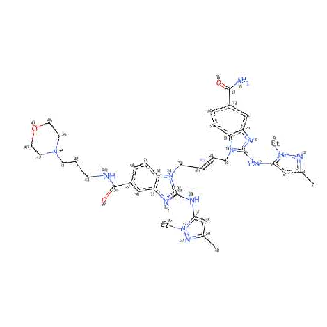 CCn1nc(C)cc1Nc1nc2cc(C(N)=O)ccc2n1C/C=C/Cn1c(Nc2cc(C)nn2CC)nc2cc(C(=O)NCCCN3CCOCC3)ccc21